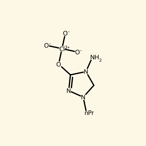 CCCN1CN(N)C(O[Cl+3]([O-])([O-])[O-])=N1